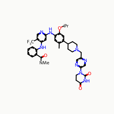 CNC(=O)c1ccccc1Nc1cc(Nc2cc(C)c(C3CCN(Cc4cnc(N5CCC(=O)NC5=O)cn4)CC3)cc2OC(C)C)ncc1C(F)(F)F